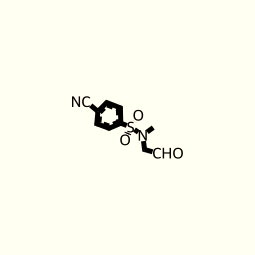 CN(CC=O)S(=O)(=O)c1ccc(C#N)cc1